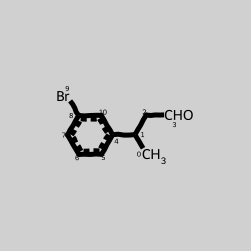 CC(CC=O)c1cccc(Br)c1